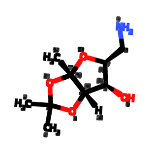 CC1(C)O[C@H]2[C@H](O)[C@H](CN)O[C@@]2(C)O1